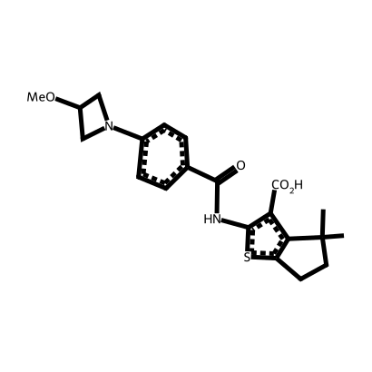 COC1CN(c2ccc(C(=O)Nc3sc4c(c3C(=O)O)C(C)(C)CC4)cc2)C1